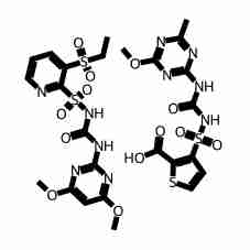 CCS(=O)(=O)c1cccnc1S(=O)(=O)NC(=O)Nc1nc(OC)cc(OC)n1.COc1nc(C)nc(NC(=O)NS(=O)(=O)c2ccsc2C(=O)O)n1